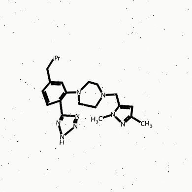 Cc1cc(CN2CCN(c3cc(CC(C)C)ccc3-c3nn[nH]n3)CC2)n(C)n1